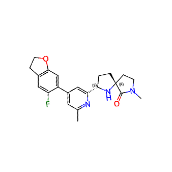 Cc1cc(-c2cc3c(cc2F)CCO3)cc([C@@H]2CC[C@]3(CCN(C)C3=O)N2)n1